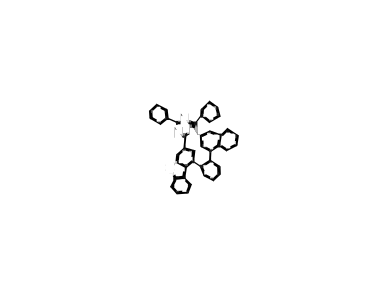 c1ccc(-c2nc(-c3ccccc3)nc(-c3cc(-c4ccccc4-c4cccc5ccccc45)c4c(c3)oc3ccccc34)n2)cc1